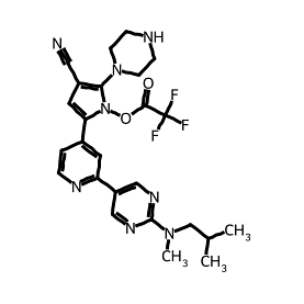 CC(C)CN(C)c1ncc(-c2cc(-c3cc(C#N)c(N4CCNCC4)n3OC(=O)C(F)(F)F)ccn2)cn1